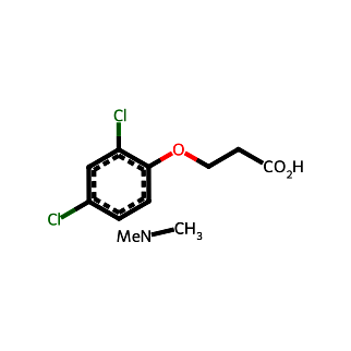 CNC.O=C(O)CCOc1ccc(Cl)cc1Cl